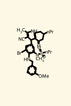 CCCC1CC(=O)C2=C(C1)NC(C)=C(C#N)C2c1cc(Br)c(NCc2cccc(OC)c2)c(N(C)S(=O)(=O)CCC)c1